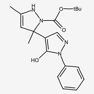 CC1=CC(C)(c2cnn(-c3ccccc3)c2O)N(C(=O)OC(C)(C)C)N1